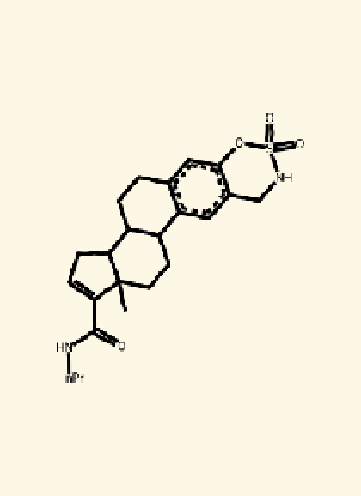 CCCNC(=O)C1=CCC2C3CCc4cc5c(cc4C3CCC12C)CNS(=O)(=O)O5